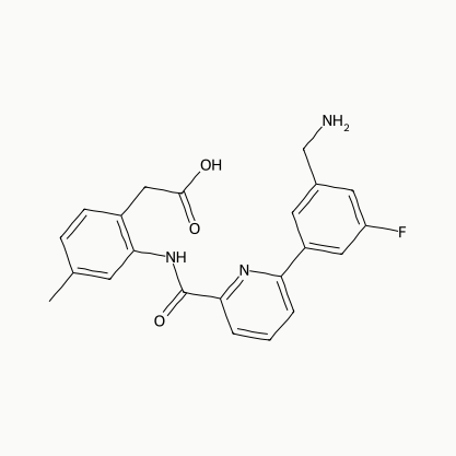 Cc1ccc(CC(=O)O)c(NC(=O)c2cccc(-c3cc(F)cc(CN)c3)n2)c1